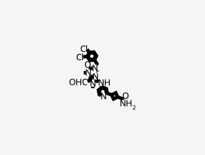 CN(Cc1ccc(Cl)c(Cl)c1)C(=O)N(C)c1nc(Nc2ccnc(C3CC(C(N)=O)C3)c2)n(C)c1C=O